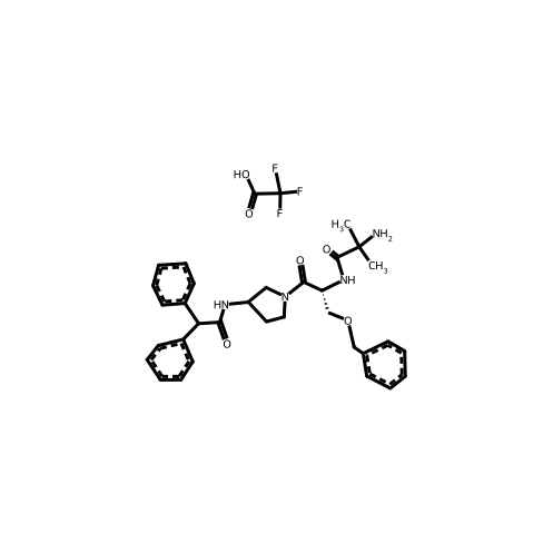 CC(C)(N)C(=O)N[C@H](COCc1ccccc1)C(=O)N1CCC(NC(=O)C(c2ccccc2)c2ccccc2)C1.O=C(O)C(F)(F)F